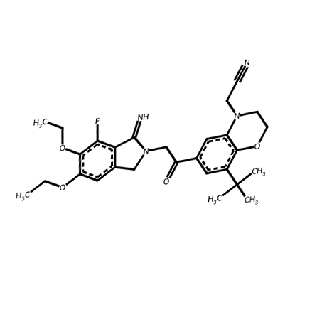 CCOc1cc2c(c(F)c1OCC)C(=N)N(CC(=O)c1cc3c(c(C(C)(C)C)c1)OCCN3CC#N)C2